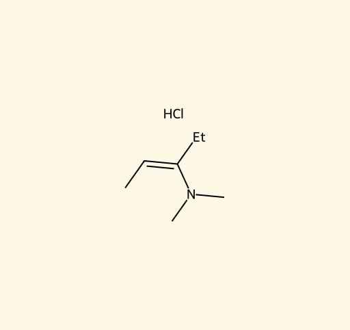 CC=C(CC)N(C)C.Cl